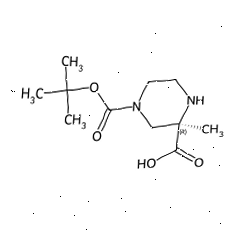 CC(C)(C)OC(=O)N1CCN[C@@](C)(C(=O)O)C1